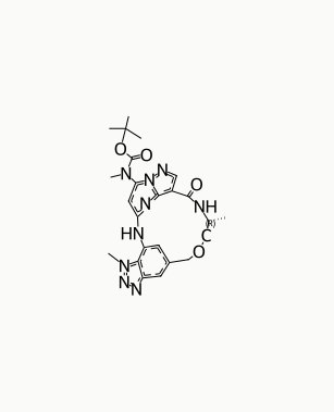 C[C@@H]1COCc2cc(c3c(c2)nnn3C)Nc2cc(N(C)C(=O)OC(C)(C)C)n3ncc(c3n2)C(=O)N1